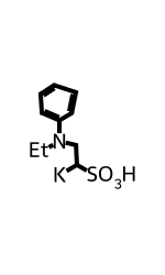 CCN(C[CH]([K])S(=O)(=O)O)c1ccccc1